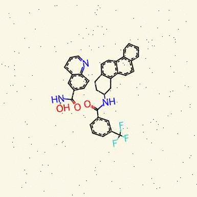 O=C(NC1CCc2ccc3c(ccc4ccccc43)c2C1)c1cccc(C(F)(F)F)c1.O=C(NO)c1ccc2ncccc2c1